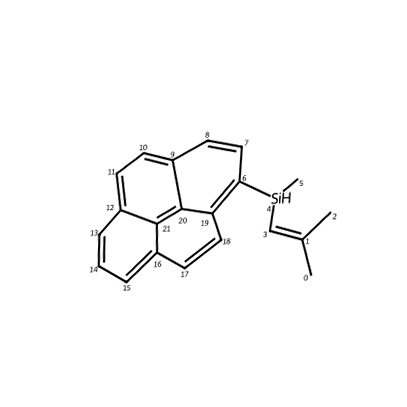 CC(C)=C[SiH](C)c1ccc2ccc3cccc4ccc1c2c34